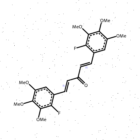 COc1cc(/C=C/C(=O)/C=C/c2cc(OC)c(OC)c(OC)c2F)c(F)c(OC)c1OC